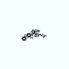 CC(C)OCCCNC(=N)c1c(O)nsc1Nc1ccc(Oc2ccccc2)cc1